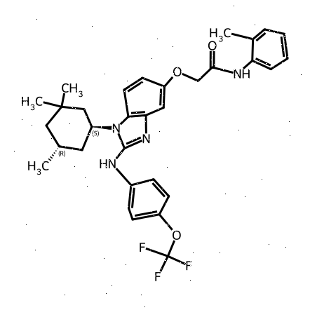 Cc1ccccc1NC(=O)COc1ccc2c(c1)nc(Nc1ccc(OC(F)(F)F)cc1)n2[C@H]1C[C@H](C)CC(C)(C)C1